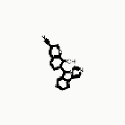 N#Cc1cnc2c(c1)CCC(C1c3ccccc3-c3cncn31)C2O